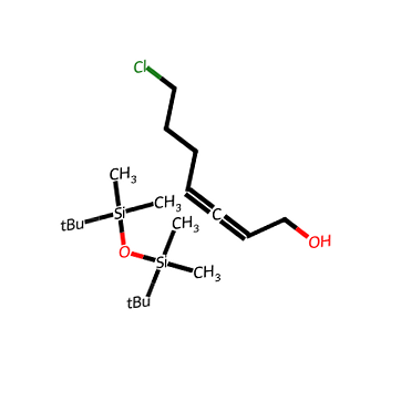 CC(C)(C)[Si](C)(C)O[Si](C)(C)C(C)(C)C.OCC=C=CCCCCl